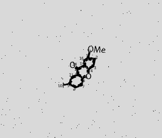 COc1ccc2oc3ccc(I)cc3c(=O)c2c1